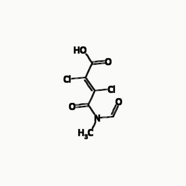 CN(C=O)C(=O)C(Cl)=C(Cl)C(=O)O